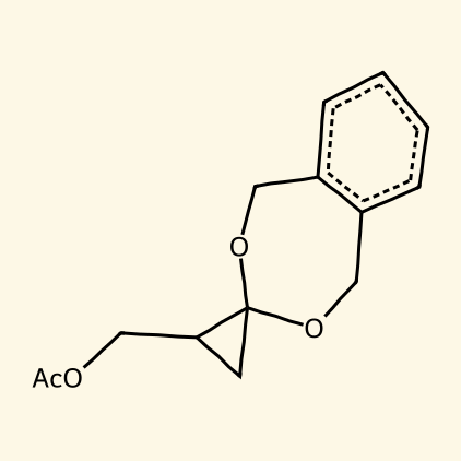 CC(=O)OCC1CC12OCc1ccccc1CO2